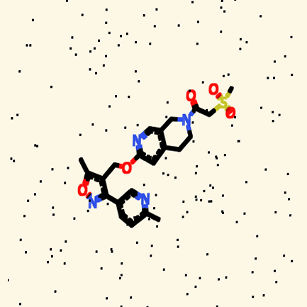 Cc1ccc(-c2noc(C)c2COc2cc3c(cn2)CN(C(=O)CS(C)(=O)=O)CC3)cn1